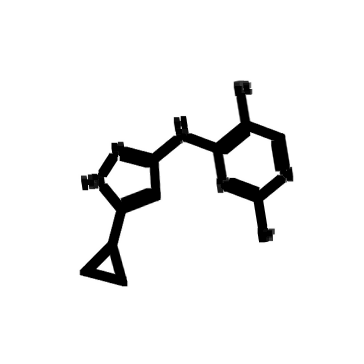 CCc1cnc(Br)nc1Nc1cc(C2CC2)[nH]n1